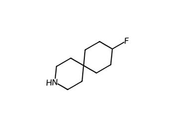 FC1CCC2(CCNCC2)CC1